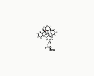 CC(C)(C)OC(=O)COc1ccc(S(OS(=O)(=O)c2ccccc2)(c2ccccn2)c2ccccn2)cc1